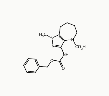 Cn1nc(NC(=O)OCc2ccccc2)c2c1CCCCN2C(=O)O